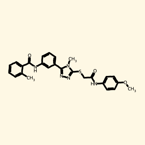 COc1ccc(NC(=O)CSc2nnc(-c3cccc(NC(=O)c4ccccc4C)c3)n2C)cc1